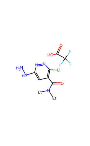 CCN(CC)C(=O)c1cc(NN)nnc1Cl.O=C(O)C(F)(F)F